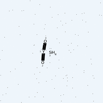 [O]=[Y]=[O].[SiH4]